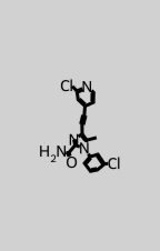 Cc1c(C#Cc2ccnc(Cl)c2)nc(C(N)=O)n1-c1cccc(Cl)c1